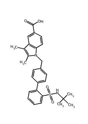 Cc1c(C)n(Cc2ccc(-c3ccccc3S(=O)(=O)NC(C)(C)C)cc2)c2ccc(C(=O)O)cc12